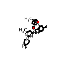 Cc1cc(NC(=O)c2ccc(I)cc2N2CCC3(C)C[C@H]2C3(F)F)nc(N2CCC(F)(F)CC2)n1